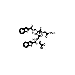 CNC(=O)CNC(=O)[C@@H](CNC(=O)c1cc2ccccc2s1)NC(=O)[C@H](CCC(N)=O)NC(=O)c1cc2ccccc2s1